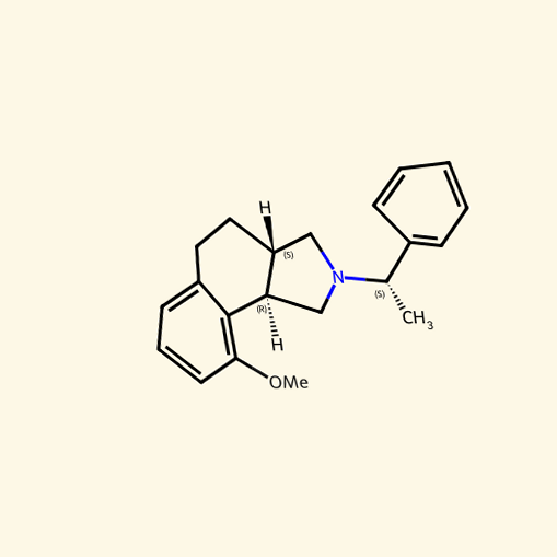 COc1cccc2c1[C@@H]1CN([C@@H](C)c3ccccc3)C[C@H]1CC2